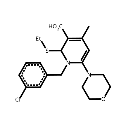 CCSC1C(C(=O)O)=C(C)C=C(N2CCOCC2)N1Cc1cccc(Cl)c1